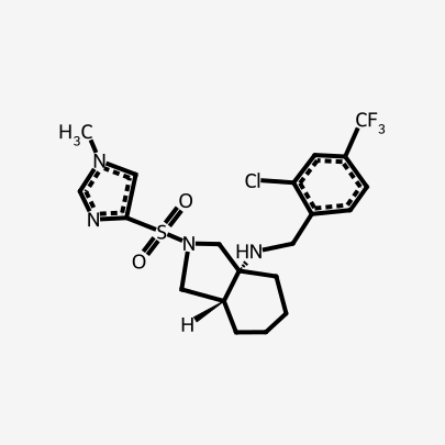 Cn1cnc(S(=O)(=O)N2C[C@H]3CCCC[C@]3(NCc3ccc(C(F)(F)F)cc3Cl)C2)c1